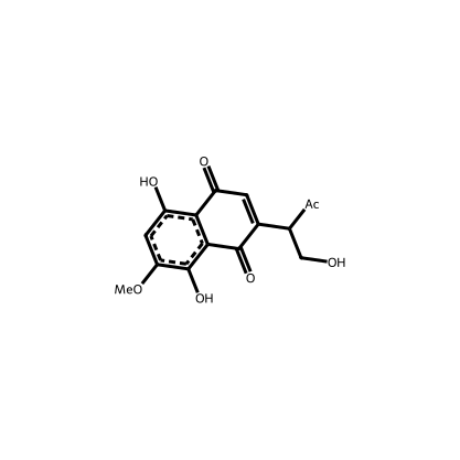 COc1cc(O)c2c(c1O)C(=O)C(C(CO)C(C)=O)=CC2=O